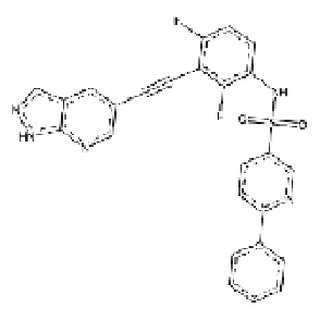 O=S(=O)(Nc1ccc(F)c(C#Cc2cnc3[nH]ncc3c2)c1F)c1ccc(-c2ccccc2)nc1